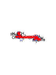 COc1cc2c(N(C=O)Cc3ccccn3)c(N(C)CC(=O)NCCOCCOCCOCCOCCOCCOCCOCCNC(=O)CN(C=O)c3cnc4cc(-c5c(C)noc5C)c(OC)cc4c3N(C)C(C)c3ccccn3)cnc2cc1-c1c(C)noc1C